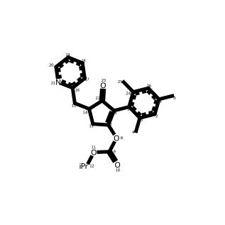 Cc1cc(C)c(C2=C(OC(=O)OC(C)C)CC(Cc3ccccn3)C2=O)c(C)c1